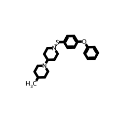 CC1CCN(C2CCN(Sc3ccc(Oc4ccccc4)cc3)CC2)CC1